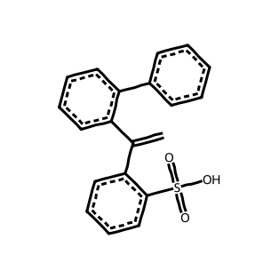 C=C(c1ccccc1-c1ccccc1)c1ccccc1S(=O)(=O)O